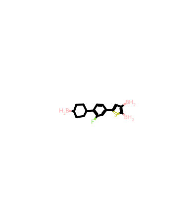 Bc1cc(-c2ccc(C3CCC(B)CC3)c(F)c2)sc1B